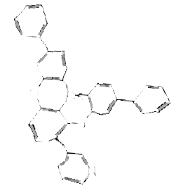 S=P12c3ccc(-c4ccccc4)cc3Oc3ccc(-c4cccnc4)c(c31)Oc1cc(-c3ccccc3)ccc12